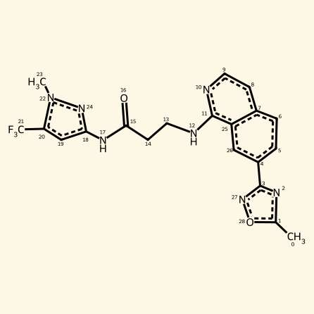 Cc1nc(-c2ccc3ccnc(NCCC(=O)Nc4cc(C(F)(F)F)n(C)n4)c3c2)no1